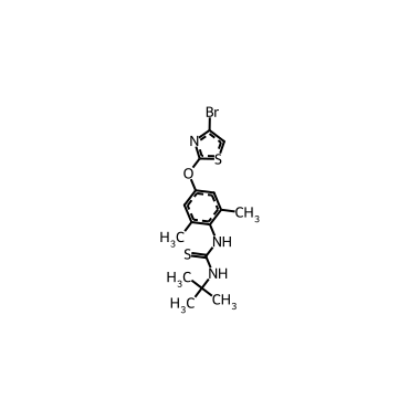 Cc1cc(Oc2nc(Br)cs2)cc(C)c1NC(=S)NC(C)(C)C